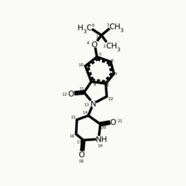 CC(C)(C)Oc1ccc2c(c1)C(=O)N(C1CCC(=O)NC1=O)C2